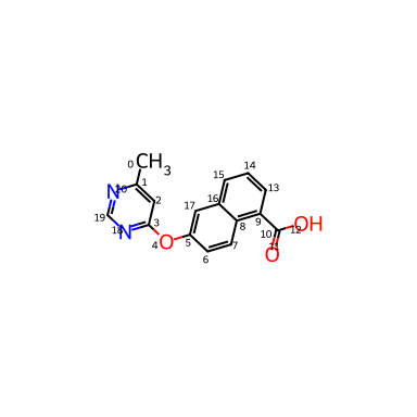 Cc1cc(Oc2ccc3c(C(=O)O)cccc3c2)ncn1